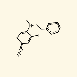 CN(CCc1ccccc1)C1=CCC(=[N+]=[N-])C=C1I